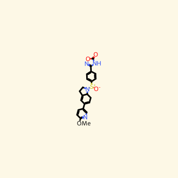 COc1ccc(C2=CCC3C(=C2)CCN3[S+]([O-])c2ccc(-c3noc(=O)[nH]3)cc2)cn1